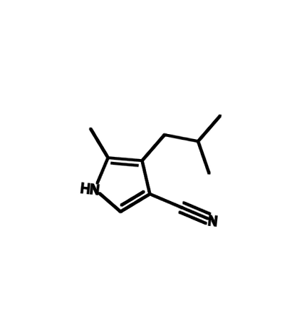 Cc1[nH]cc(C#N)c1CC(C)C